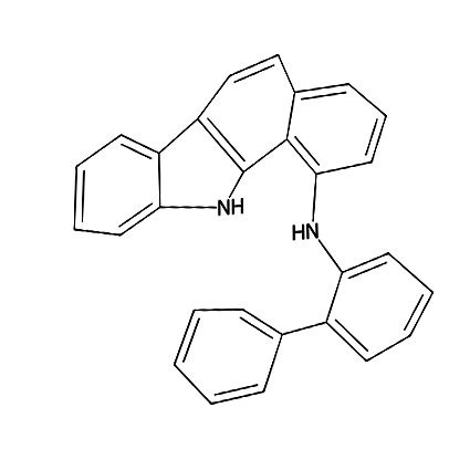 c1ccc(-c2ccccc2Nc2cccc3ccc4c5ccccc5[nH]c4c23)cc1